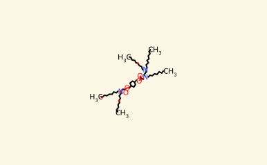 CCCCCCCCCN(CCCCCCCCC)CCN(CCCCCCCCC)CC(=O)OCC1CCC(COC(=O)CN(CCCCCCCCC)CCCCCCCCC)CC1